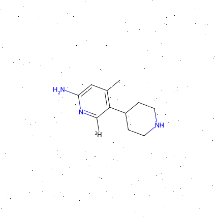 [2H]c1nc(N)cc(C)c1C1CCNCC1